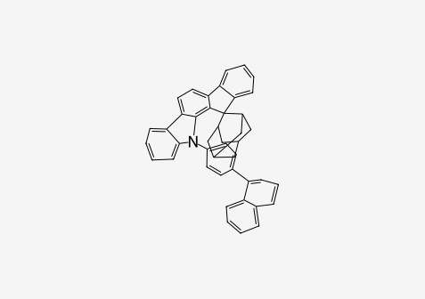 c1ccc2c(c1)-c1ccc3c4ccccc4n(-c4ccc(-c5cccc6ccccc56)cc4)c3c1C21C2CC3CC(C2)CC1C3